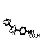 O=C(O)Nc1ccc(-c2noc(-c3cscn3)n2)cc1